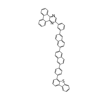 c1cc(-c2ccc3cc(-c4ccc5cc(-c6ccc(-c7cccc8c7sc7ccccc78)cc6)ccc5c4)ccc3c2)cc(-c2cnc3c4ccccc4c4ccccc4c3n2)c1